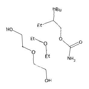 CCCCC(CC)COC(N)=O.CCOCC.OCCOCCO